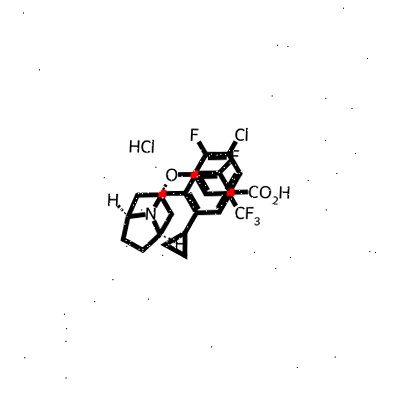 Cl.O=C(O)c1cc(C2CC2)c(CN2[C@@H]3CC[C@H]2C[C@H](Oc2cc(C(F)(F)F)cc(Cl)c2F)C3)cc1F